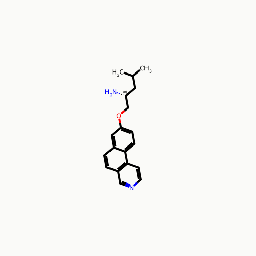 CC(C)C[C@@H](N)COc1ccc2c(ccc3cnccc32)c1